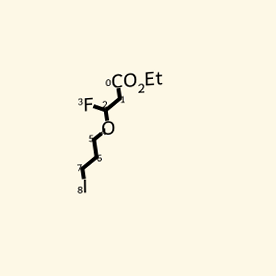 CCOC(=O)CC(F)OCCCI